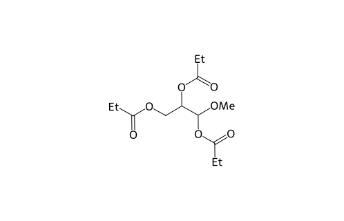 CCC(=O)OCC(OC(=O)CC)C(OC)OC(=O)CC